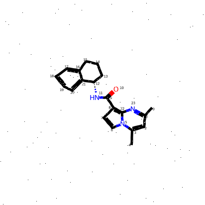 Cc1cc(C)n2ccc(C(=O)N[C@H]3CCCc4ccccc43)c2n1